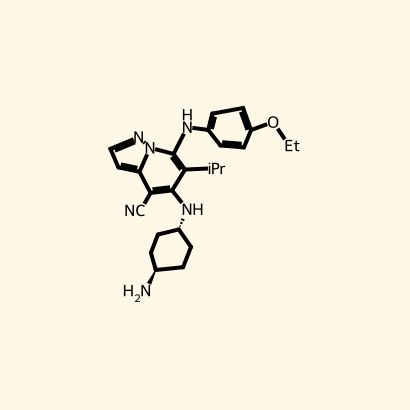 CCOc1ccc(Nc2c(C(C)C)c(N[C@H]3CC[C@H](N)CC3)c(C#N)c3ccnn23)cc1